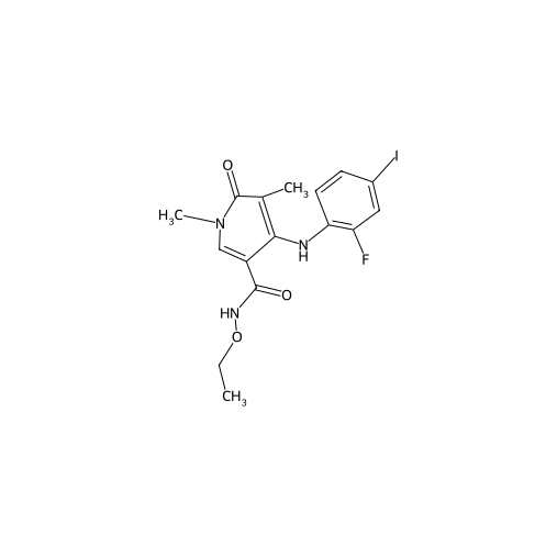 CCONC(=O)c1cn(C)c(=O)c(C)c1Nc1ccc(I)cc1F